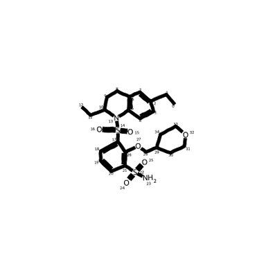 CCc1ccc2c(c1)CCC(CC)N2S(=O)(=O)c1cccc(S(N)(=O)=O)c1OCC1CCOCC1